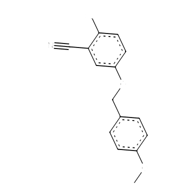 COc1ccc(COc2ccc(Cl)c(C#N)c2)cc1